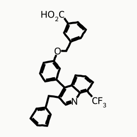 O=C(O)c1cccc(COc2cccc(-c3c(Cc4ccccc4)cnc4c(C(F)(F)F)cccc34)c2)c1